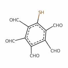 O=Cc1c(S)c(C=O)c(C=O)c(C=O)c1C=O